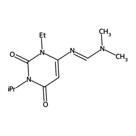 CCn1c(N=CN(C)C)cc(=O)n(C(C)C)c1=O